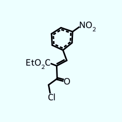 CCOC(=O)/C(=C\c1cccc([N+](=O)[O-])c1)C(=O)CCl